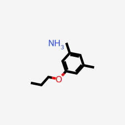 CCCOc1cc(C)cc(C)c1.N